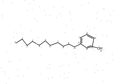 CCCCCCCCCCCc1cccc(O)c1